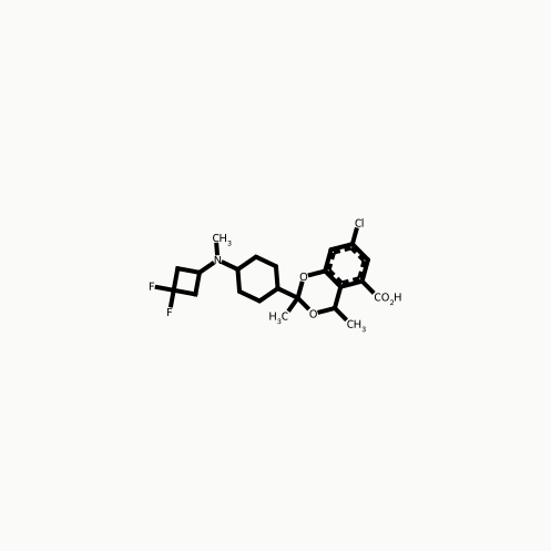 CC1OC(C)(C2CCC(N(C)C3CC(F)(F)C3)CC2)Oc2cc(Cl)cc(C(=O)O)c21